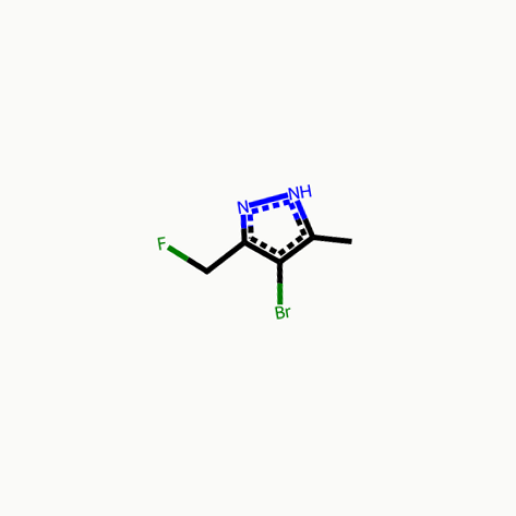 Cc1[nH]nc(CF)c1Br